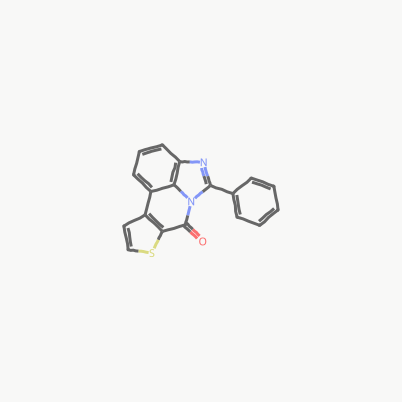 O=c1c2sccc2c2cccc3nc(-c4ccccc4)n1c32